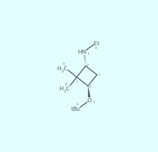 CCN[C@@H]1C[C@@H](OC(C)(C)C)C1(C)C